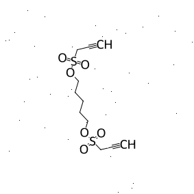 C#CCS(=O)(=O)OCCCCCOS(=O)(=O)CC#C